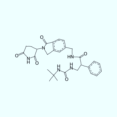 CC(C)(C)NC(=O)NCC(C(=O)NCc1ccc2c(c1)CN(C1CCC(=O)NC1=O)C2=O)c1ccccc1